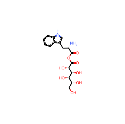 N[C@@H](Cc1c[nH]c2ccccc12)C(=O)OC(=O)[C@H](O)[C@@H](O)[C@H](O)[C@H](O)CO